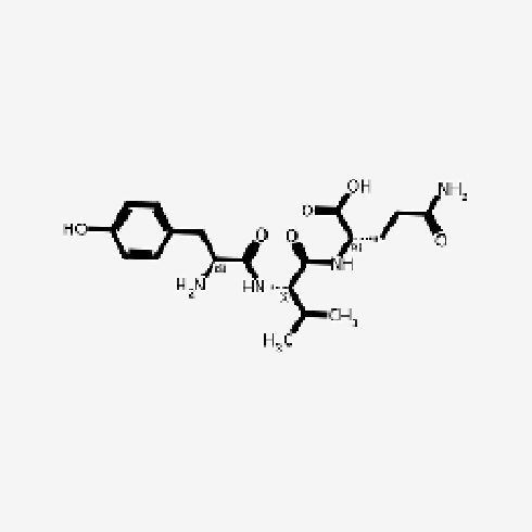 CC(C)[C@H](NC(=O)[C@@H](N)Cc1ccc(O)cc1)C(=O)N[C@@H](CCC(N)=O)C(=O)O